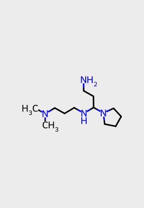 CN(C)CCCNC(CCN)N1CCCC1